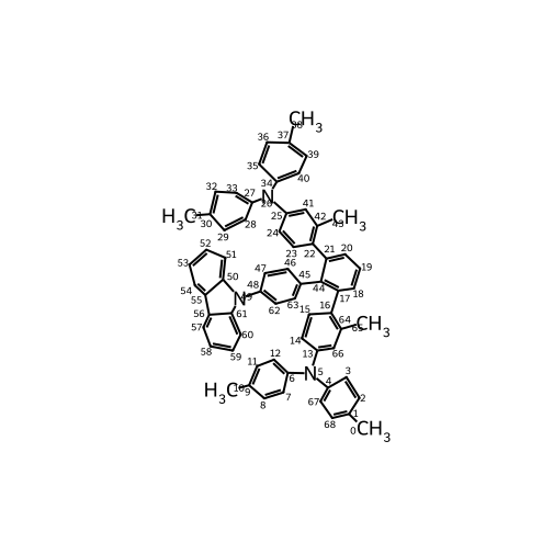 Cc1ccc(N(c2ccc(C)cc2)c2ccc(-c3cccc(-c4ccc(N(c5ccc(C)cc5)c5ccc(C)cc5)cc4C)c3-c3ccc(-n4c5ccccc5c5ccccc54)cc3)c(C)c2)cc1